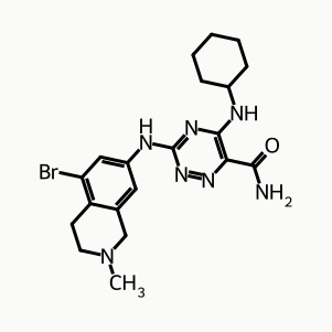 CN1CCc2c(Br)cc(Nc3nnc(C(N)=O)c(NC4CCCCC4)n3)cc2C1